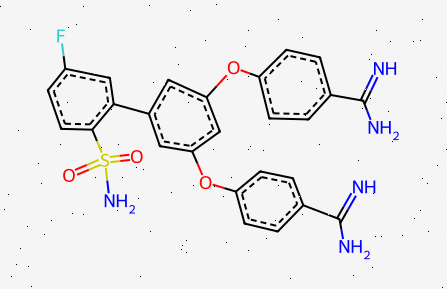 N=C(N)c1ccc(Oc2cc(Oc3ccc(C(=N)N)cc3)cc(-c3cc(F)ccc3S(N)(=O)=O)c2)cc1